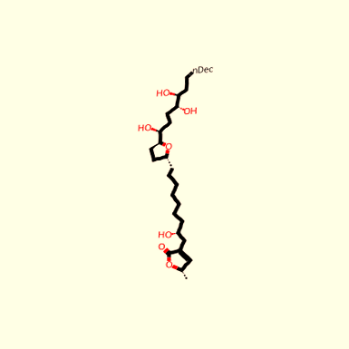 CCCCCCCCCCCC[C@H](O)[C@H](O)CC[C@H](O)[C@@H]1CC[C@@H](CCCCCCC[C@@H](O)CC2=C[C@H](C)OC2=O)O1